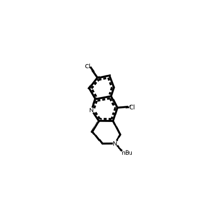 CCCCN1CCc2nc3cc(Cl)ccc3c(Cl)c2C1